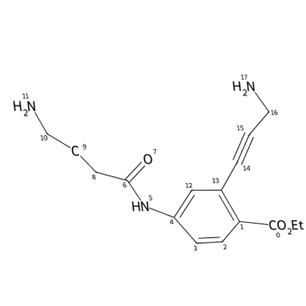 CCOC(=O)c1ccc(NC(=O)CCCN)cc1C#CCN